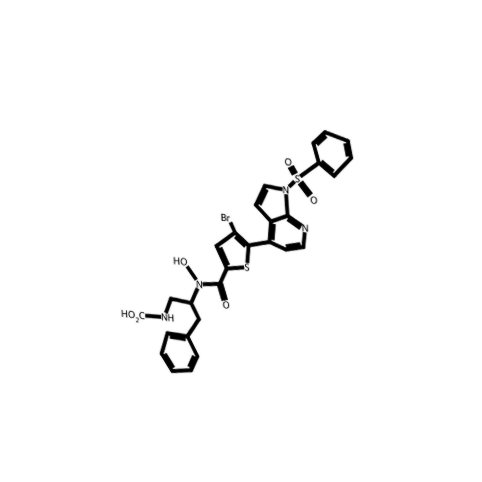 O=C(O)NCC(Cc1ccccc1)N(O)C(=O)c1cc(Br)c(-c2ccnc3c2ccn3S(=O)(=O)c2ccccc2)s1